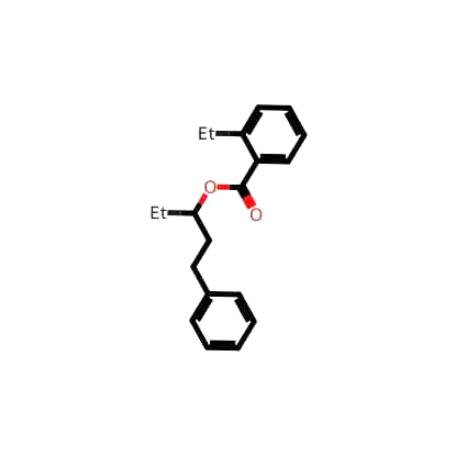 CCc1ccccc1C(=O)OC(CC)CCc1ccccc1